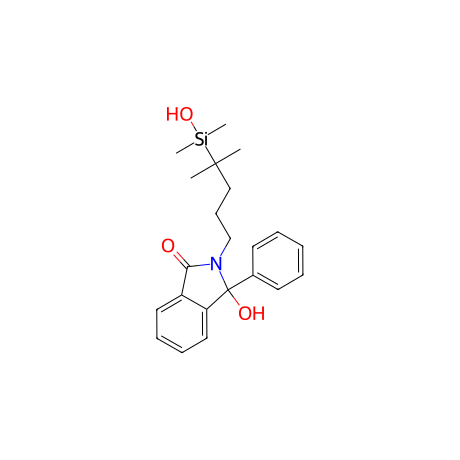 CC(C)(CCCN1C(=O)c2ccccc2C1(O)c1ccccc1)[Si](C)(C)O